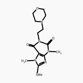 CSc1nc2c(c(=O)n(CCN3CCOCC3)c(=O)n2C)n1C